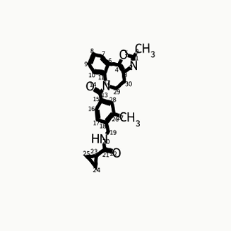 Cc1nc2c(o1)-c1ccccc1N(C(=O)c1ccc(CNC(=O)C3CC3)c(C)c1)CC2